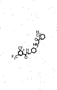 CC1CCCCN1C(=O)CNC[C@H]1CC[C@H](CNC(=O)c2cc(C(F)(F)F)cc(C(F)(F)F)c2)CC1